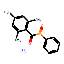 Cc1cc(C)c(C(=O)[P](=O)c2ccccc2)c(C)c1.N